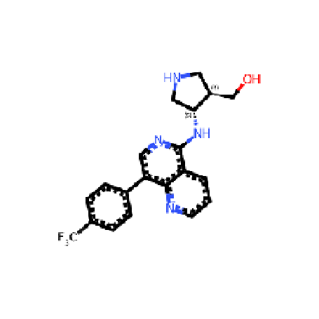 OC[C@@H]1CNC[C@H]1Nc1ncc(-c2ccc(C(F)(F)F)cc2)c2ncccc12